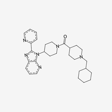 O=C(C1CCN(CC2CCCCC2)CC1)N1CCC(n2c(-c3ccccn3)nc3cccnc32)CC1